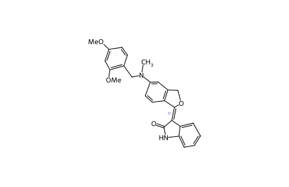 COc1ccc(CN(C)c2ccc3c(c2)CO/C3=C2/C(=O)Nc3ccccc32)c(OC)c1